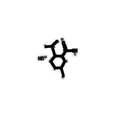 CC1CCC(C(C)C)C(C(=O)O)C1.Cl